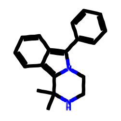 CC1(C)NCCn2c(-c3ccccc3)c3ccccc3c21